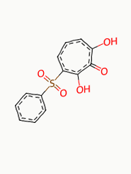 O=c1c(O)cccc(S(=O)(=O)c2ccccc2)c1O